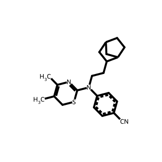 CC1=C(C)N=C(N(CCC2CC3CCC2C3)c2ccc(C#N)cc2)SC1